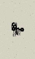 CCN(CC)C(=O)Nn1c(CCc2ccccc2)c2c3c(cccc31)[C@H]1CCCN(C)[C@@H]1C2